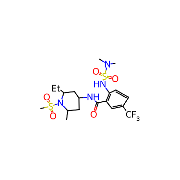 CCC1CC(NC(=O)c2cc(C(F)(F)F)ccc2NS(=O)(=O)N(C)C)CC(C)N1S(C)(=O)=O